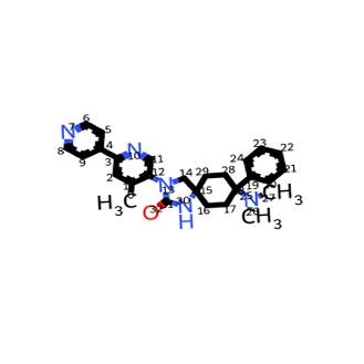 Cc1cc(-c2ccncc2)ncc1N1CC2(CCC(c3ccccc3)(N(C)C)CC2)NC1=O